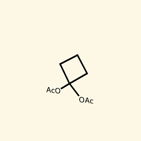 CC(=O)OC1(OC(C)=O)CCC1